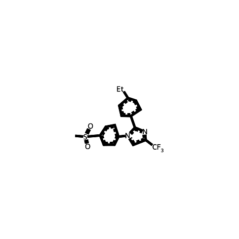 CCc1ccc(-c2nc(C(F)(F)F)cn2-c2ccc(S(C)(=O)=O)cc2)cc1